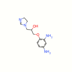 Nc1ccc(OCC(O)CN2C=NCC2)c(N)c1